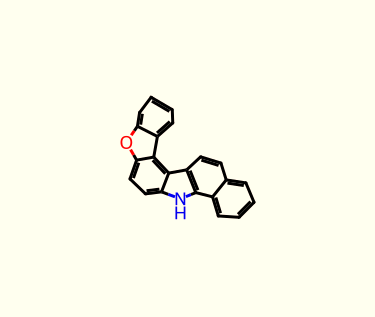 c1ccc2c(c1)ccc1c2[nH]c2ccc3oc4ccccc4c3c21